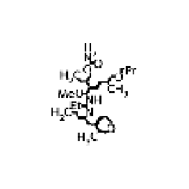 C=C/C=C(CC1=CCCOC[C@@H]1C)\N=C(/CC)NC(OC)C(C=C[C@@H](C)COCCC)C(C=C)COC(N)=O